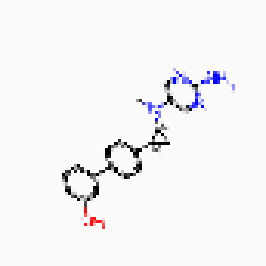 CN(c1cnc(N)nc1)[C@@H]1C[C@H]1c1ccc(-c2cccc(O)c2)cc1